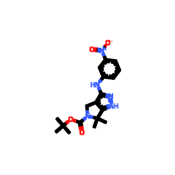 CC(C)(C)OC(=O)N1Cc2c(Nc3cccc([N+](=O)[O-])c3)n[nH]c2C1(C)C